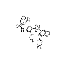 CCOC(=O)CS(=O)(=O)Nc1ccc(-c2nnc(-c3cc4ccoc4c(N4CCC(F)(F)CC4)n3)o2)c(N2CCC3(CC2)CC3)c1